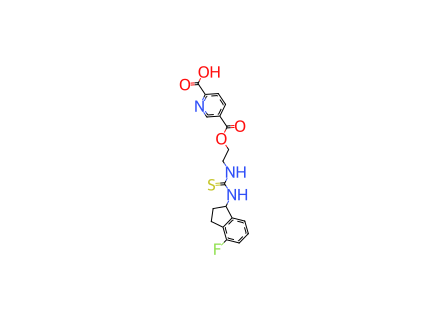 O=C(OCCNC(=S)NC1CCc2c(F)cccc21)c1ccc(C(=O)O)nc1